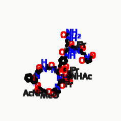 C=C1C(=O)N[C@@H](C)C(=O)N(C)[C@@H](C)C(=O)N[C@@H]([C@H](OC(=O)[C@@H](NC(C)=O)[C@H](OC(=O)OCc2ccc(NC(=O)[C@H](CCCNC(N)=O)NC(=O)[C@@H](NC(=O)CCN3C(=O)C=CC3=O)C(C)C)cc2)C(C)C)C(C)C)C(=O)N(C)[C@@H]([C@@H](C)OC)C(=O)O[C@H](C)[C@H](NC(C)=O)C(=O)O/C(=C/c2ccccc2)C(=O)N1C